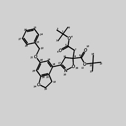 CC(C)(C)OC(=O)CC1(C(=O)OC(C)(C)C)CC(c2cc(OCc3ccccc3)cc3c2CCO3)=NO1